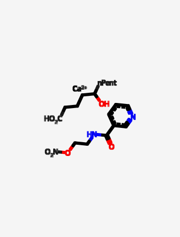 CCCCCC(O)CCCC(=O)O.O=C(NCCO[N+](=O)[O-])c1cccnc1.[Ca+2]